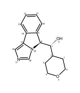 O[C@H](C1CCOCC1)[C@@H]1c2ccccc2-c2cncn21